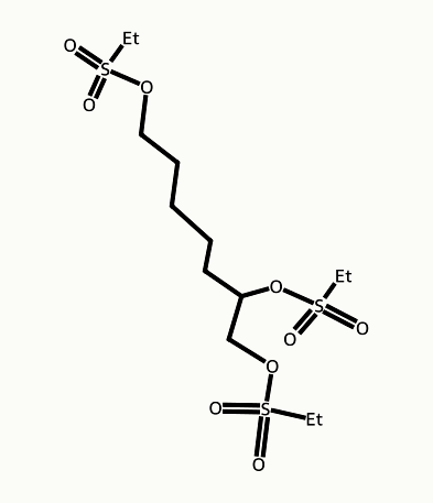 CCS(=O)(=O)OCCCCCC(COS(=O)(=O)CC)OS(=O)(=O)CC